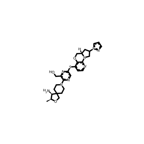 C[C@@H]1OCC2(CCN(c3ncc(Sc4ccnc5c4OC[C@@H]4CC(n6cccn6)CN54)nc3CO)CC2)[C@@H]1N